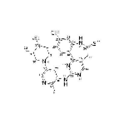 CCN1CCN(c2cnc(C)c(Nc3ncc4c(n3)-c3ccc(Cl)cc3NC(=S)C4)c2)C[C@@H]1C